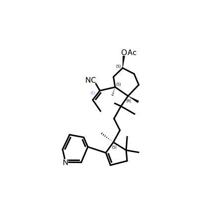 C/C=C(/C#N)[C@@]1(C)C[C@@H](OC(C)=O)CC[C@]1(C)C(C)(C)CC[C@]1(C)C(c2cccnc2)=CCC1(C)C